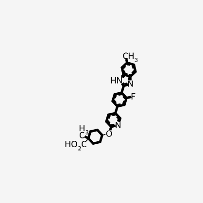 Cc1ccc2nc(-c3ccc(-c4ccc(O[C@H]5CC[C@@](C)(C(=O)O)CC5)nc4)cc3F)[nH]c2c1